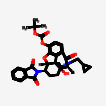 CC(C)(C)OC(=O)Oc1ccc2c3c1O[C@H]1[C@H](N4C(=O)c5ccccc5C4=O)CC[C@@]4(O)[C@@H](C2=O)N(CC2CC2)CC[C@]314